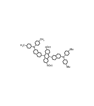 CCCCCCCCc1ccc2c(-c3ccc4ccc(N(c5ccc(C)cc5)c5ccc(C)cc5)cc4c3)c3cc(CCCCCCCC)ccc3c(-c3ccc4cc(N(c5ccc(C(C)(C)C)cc5)c5ccc(C(C)(C)C)cc5)ccc4c3)c2c1